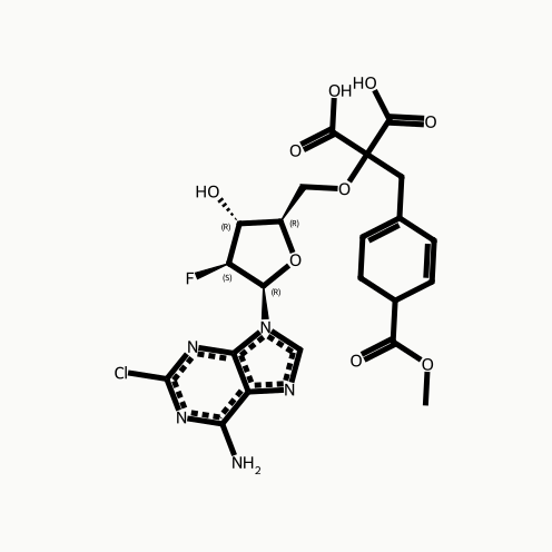 COC(=O)C1C=CC(CC(OC[C@H]2O[C@@H](n3cnc4c(N)nc(Cl)nc43)[C@@H](F)[C@@H]2O)(C(=O)O)C(=O)O)=CC1